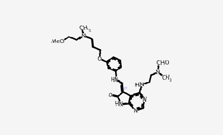 COCCN(C)CCCOc1cccc(N/C=C2\C(=O)Nc3ncnc(NCCN(C)C=O)c32)c1